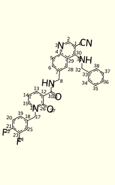 N#Cc1cnc2ccc(CNC(=O)c3cccn(Cc4ccc(F)c(F)c4)c3=O)cc2c1NCc1ccccc1